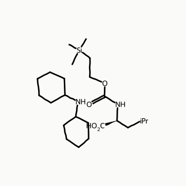 C1CCC(NC2CCCCC2)CC1.CC(C)C[C@H](NC(=O)OCC[Si](C)(C)C)C(=O)O